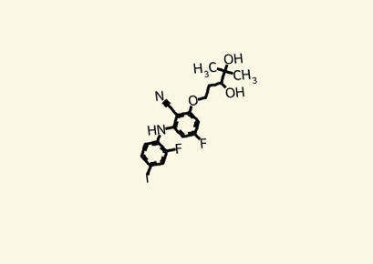 CC(C)(O)C(O)CCOc1cc(F)cc(Nc2ccc(I)cc2F)c1C#N